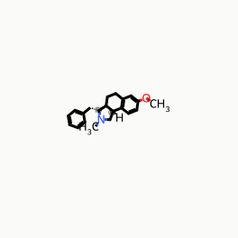 COc1ccc2c(c1)CCC1[C@@H](Cc3ccccc3)N(C)C[C@@H]21